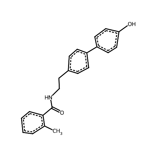 Cc1ccccc1C(=O)NCCc1ccc(-c2ccc(O)cc2)cc1